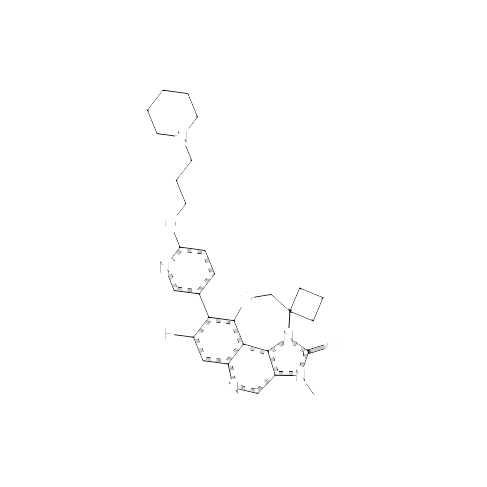 Cn1c(=O)n2c3c4c(c(-c5ccc(OCCCN6CCCCC6)nc5)c(F)cc4ncc31)OCC21CCC1